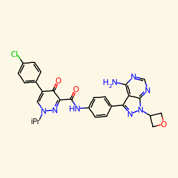 CC(C)n1cc(-c2ccc(Cl)cc2)c(=O)c(C(=O)Nc2ccc(-c3nn(C4COC4)c4ncnc(N)c34)cc2)n1